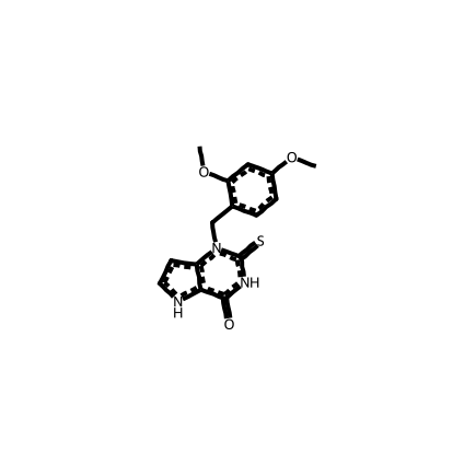 COc1ccc(Cn2c(=S)[nH]c(=O)c3[nH]ccc32)c(OC)c1